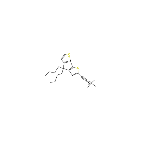 CCCCC1(CCCC)c2ccsc2-c2sc(C#C[Si](C)(C)C)cc21